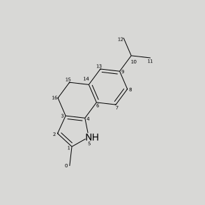 Cc1cc2c([nH]1)-c1ccc(C(C)C)cc1CC2